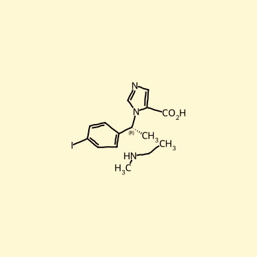 CCNC.C[C@H](c1ccc(I)cc1)n1cncc1C(=O)O